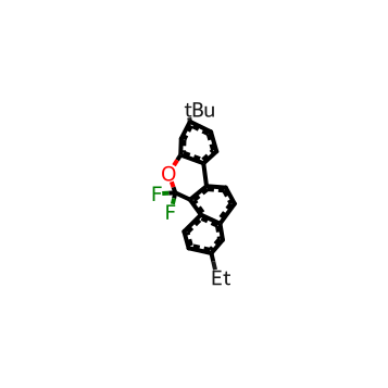 CCc1ccc2c3c(ccc2c1)-c1ccc(C(C)(C)C)cc1OC3(F)F